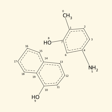 Cc1ccc(N)cc1O.Oc1cccc2ccccc12